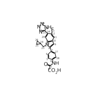 O=C(O)C(=O)Nc1ccc(-c2cc3cc(F)c(-c4nnn[nH]4)cc3n2CC2CC2)cc1